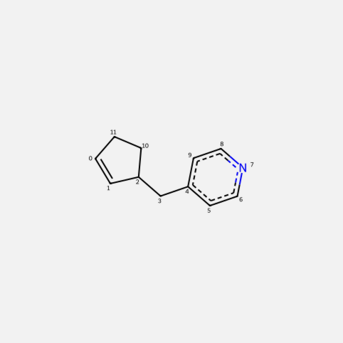 C1=CC(Cc2ccncc2)CC1